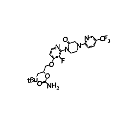 CC(C)(C)CC(COc1ccnc(N2CCN(c3ccc(C(F)(F)F)cn3)CC2=O)c1F)OC(N)=O